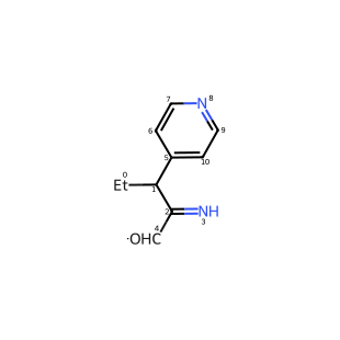 CCC(C(=N)[C]=O)c1ccncc1